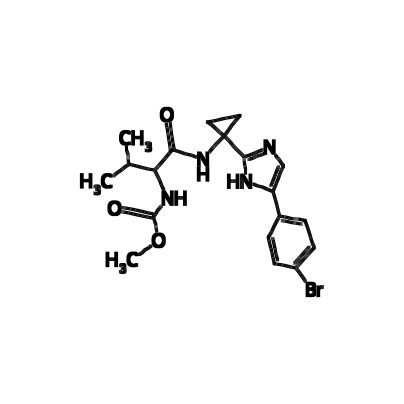 COC(=O)NC(C(=O)NC1(c2ncc(-c3ccc(Br)cc3)[nH]2)CC1)C(C)C